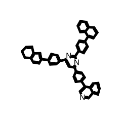 C1=Cc2cc(-c3ccc(-c4cc(-c5ccc(-c6cncc7ccccc67)cc5)nc(-c5ccc(-c6cccc7ccccc67)cc5)n4)cc3)ccc2CC1